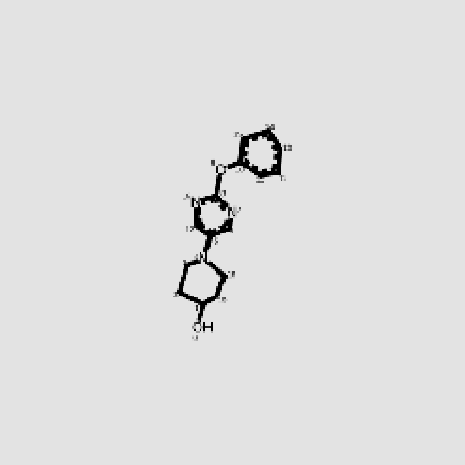 OC1CCN(c2cnc(Oc3ccccc3)nc2)CC1